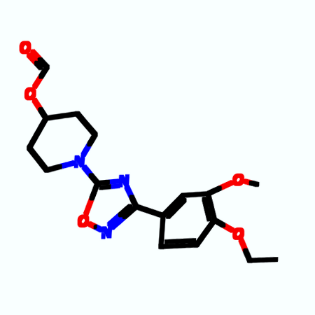 CCOc1ccc(-c2noc(N3CCC(OC=O)CC3)n2)cc1OC